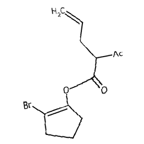 C=CCC(C(C)=O)C(=O)OC1=C(Br)CCC1